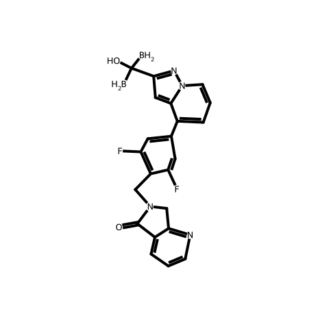 BC(B)(O)c1cc2c(-c3cc(F)c(CN4Cc5ncccc5C4=O)c(F)c3)cccn2n1